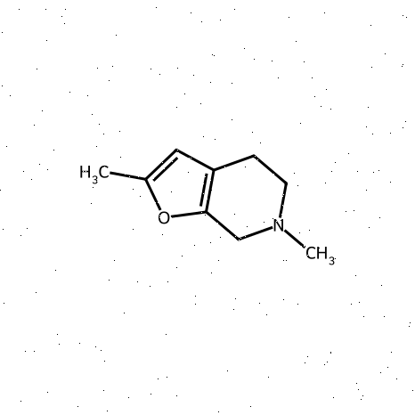 Cc1cc2c(o1)CN(C)CC2